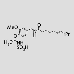 COc1cc(CNC(=O)CCCC/C=C/C(C)C)ccc1OC(C)NS(=O)(=O)O